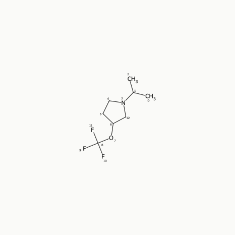 CC(C)N1CCC(OC(F)(F)F)C1